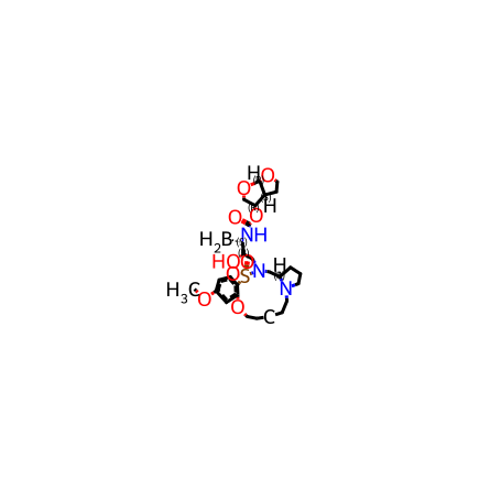 B[C@H](NC(=O)O[C@H]1CO[C@H]2OCC[C@H]21)[C@H](O)CN1C[C@H]2CCCN2CCCCCOc2cc(OC)ccc2S1(=O)=O